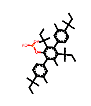 CCC(C)(C)c1ccc(-c2c(C)c(C(C)(C)CC)c(-c3ccc(C(C)(C)CC)c(C)c3)c(C(C)(C)CC)c2OP(O)O)cc1C